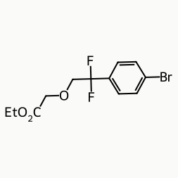 CCOC(=O)COCC(F)(F)c1ccc(Br)cc1